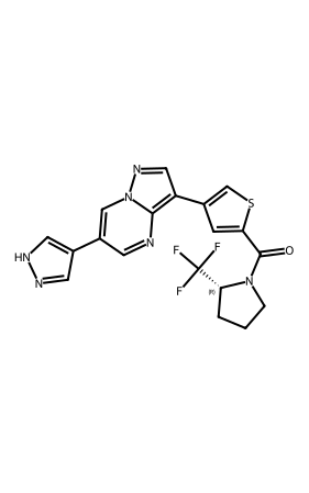 O=C(c1cc(-c2cnn3cc(-c4cn[nH]c4)cnc23)cs1)N1CCC[C@@H]1C(F)(F)F